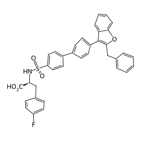 O=C(O)[C@H](Cc1ccc(F)cc1)NS(=O)(=O)c1ccc(-c2ccc(-c3c(Cc4ccccc4)oc4ccccc34)cc2)cc1